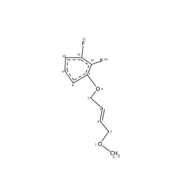 COC/C=C/COc1cccc(F)c1F